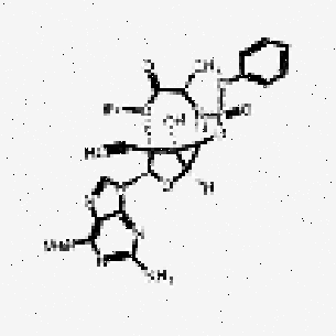 C#C[C@]1(F)[C@H](n2cnc3c(NC)nc(N)nc32)O[C@@H]2C(OP(=O)(N[C@H](C)C(=O)OC(C)C)Oc3ccccc3)[C@@]21O